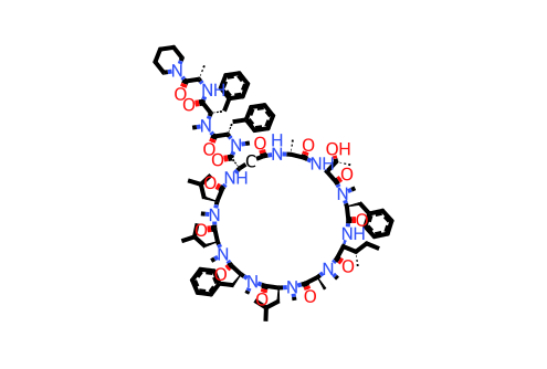 CC[C@H](C)[C@@H]1NC(=O)[C@H](Cc2ccccc2)N(C)C(=O)[C@H]([C@@H](C)O)NC(=O)[C@@H](C)NC(=O)C[C@@H](C(=O)N(C)[C@@H](Cc2ccccc2)C(=O)N(C)[C@@H](Cc2ccccc2)C(=O)N[C@@H](C)C(=O)N2CCCCC2)NC(=O)[C@H](CC(C)C)N(C)C(=O)[C@H](CC(C)C)N(C)C(=O)[C@H](Cc2ccccc2)N(C)C(=O)[C@H](CC(C)C)N(C)C(=O)[C@H](C)N(C)C1=O